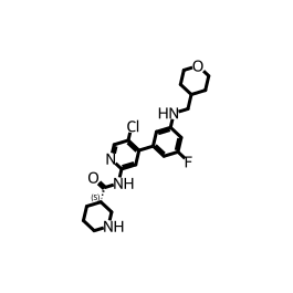 O=C(Nc1cc(-c2cc(F)cc(NCC3CCOCC3)c2)c(Cl)cn1)[C@H]1CCCNC1